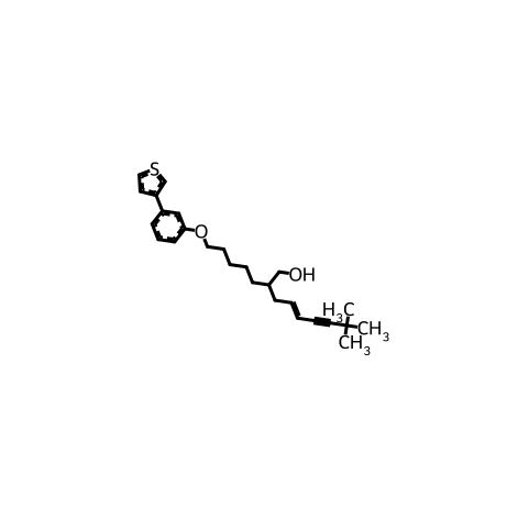 CC(C)(C)C#CC=CCC(CO)CCCCCOc1cccc(-c2ccsc2)c1